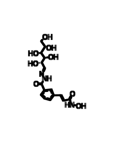 O=C(/C=C/c1cccc(C(=O)N/N=C/[C@H](O)[C@H](O)[C@@H](O)[C@@H](O)CO)c1)NO